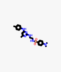 Cc1ccc(Nc2cc(C)nc(NCCNS(=O)(=O)c3ccc(N(C)C)cc3)n2)cc1